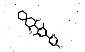 Cc1cc(-c2ccc(Cl)cn2)cc(C)c1C1C(=O)CC2(CCCCC2)CC1=O